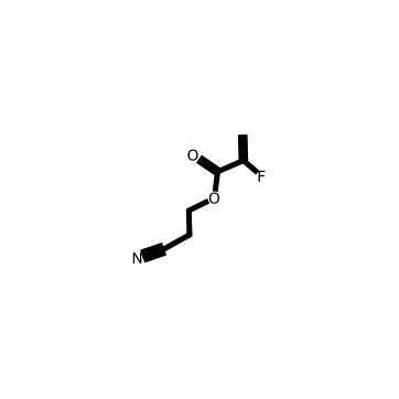 C=C(F)C(=O)OCCC#N